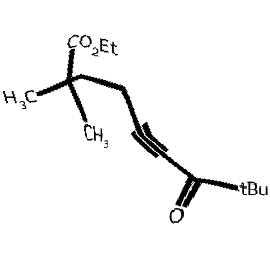 CCOC(=O)C(C)(C)CC#CC(=O)C(C)(C)C